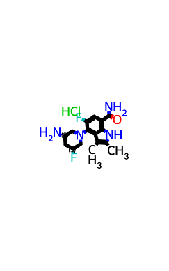 Cc1[nH]c2c(C(N)=O)cc(F)c(N3C[C@@H](N)C[C@H](F)C3)c2c1C.Cl